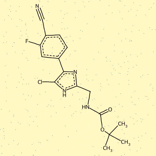 CC(C)(C)OC(=O)NCc1nc(-c2ccc(C#N)c(F)c2)c(Cl)[nH]1